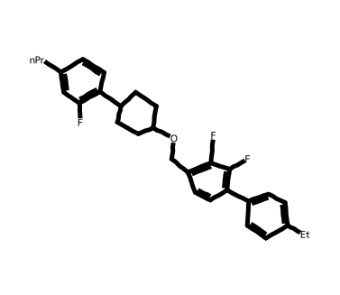 CCCc1ccc(C2CCC(OCc3ccc(-c4ccc(CC)cc4)c(F)c3F)CC2)c(F)c1